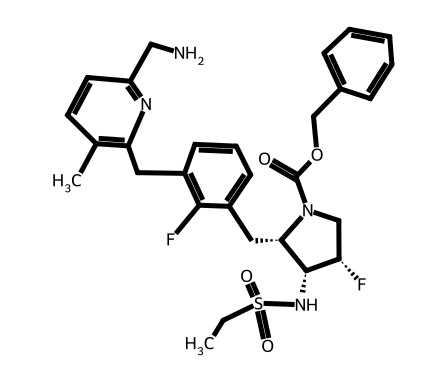 CCS(=O)(=O)N[C@H]1[C@@H](F)CN(C(=O)OCc2ccccc2)[C@H]1Cc1cccc(Cc2nc(CN)ccc2C)c1F